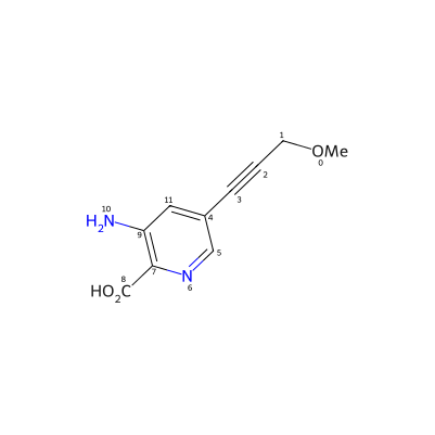 COCC#Cc1cnc(C(=O)O)c(N)c1